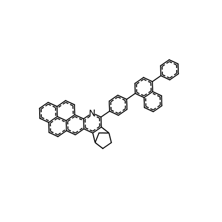 c1ccc(-c2ccc(-c3ccc(-c4nc5c(cc6ccc7cccc8ccc5c6c78)c5c4C4CCC5C4)cc3)c3ccccc23)cc1